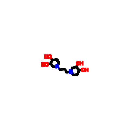 OC1CCN(CCCN2CCC(O)C(O)C2)CC1O